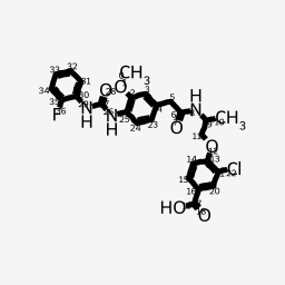 COc1cc(CC(=O)NC(C)COc2ccc(C(=O)O)cc2Cl)ccc1NC(=O)Nc1ccccc1F